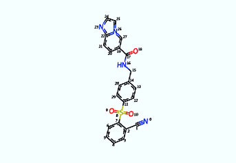 N#Cc1ccccc1S(=O)(=O)c1ccc(CNC(=O)c2ccc3nccn3c2)cc1